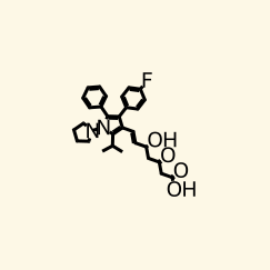 CC(C)c1c(/C=C/C(O)CC(=O)CC(=O)O)c(-c2ccc(F)cc2)c(-c2ccccc2)n1N1CCCC1